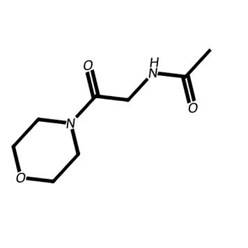 CC(=O)NCC(=O)N1CCOCC1